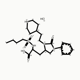 CCCCS(=O)(=O)NC(CC1CN(c2ccccc2)C(=O)N1CCC1CCNCC1)C(=O)O.Cl